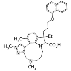 CCC1(CCCOc2cccc3ccccc23)c2ccc(C)c3c2N(CCCN(C)Cc2nn(C)cc2-3)C1C(=O)O